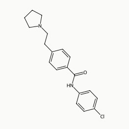 O=C(Nc1ccc(Cl)cc1)c1ccc(CCN2CCCC2)cc1